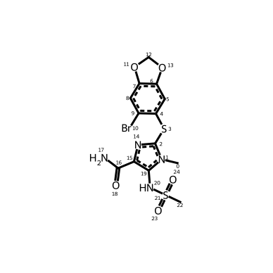 Cn1c(Sc2cc3c(cc2Br)OCO3)nc(C(N)=O)c1NS(C)(=O)=O